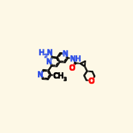 Cc1ccncc1-c1cc2cc(NC(=O)[C@H]3CC3C3CCOCC3)ncc2c(N)n1